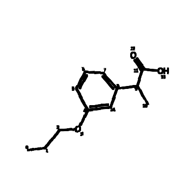 CCCOc1cccc(C(C)C(=O)O)c1